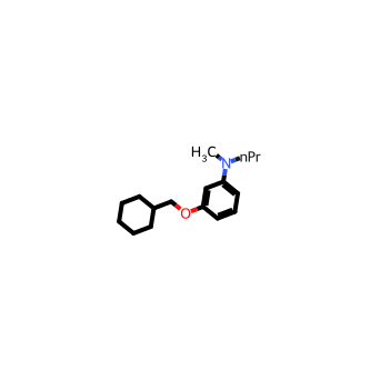 CCCN(C)c1cccc(OCC2CCCCC2)c1